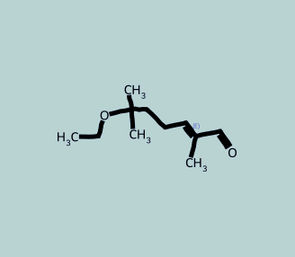 CCOC(C)(C)CC/C=C(\C)C=O